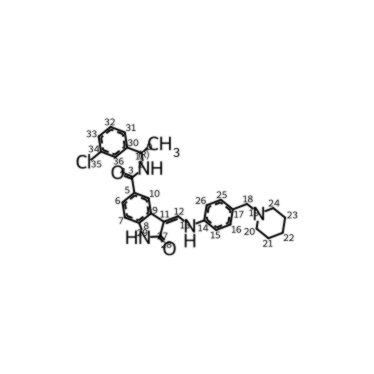 C[C@@H](NC(=O)c1ccc2c(c1)C(=CNc1ccc(CN3CCCCC3)cc1)C(=O)N2)c1cccc(Cl)c1